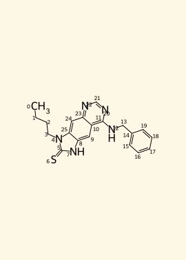 CCCCn1c(=S)[nH]c2cc3c(NCc4ccccc4)ncnc3cc21